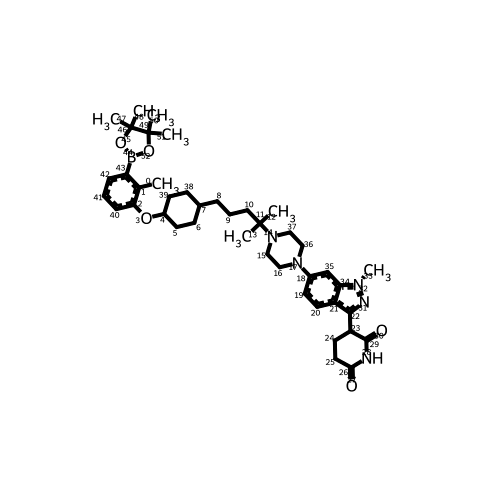 Cc1c(OC2CCC(CCCC(C)(C)N3CCN(c4ccc5c(C6CCC(=O)NC6=O)nn(C)c5c4)CC3)CC2)cccc1B1OC(C)(C)C(C)(C)O1